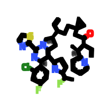 C=CC(CCC1(CC(=O)C(C=C)[C@H](C)c2ccccn2)CC1)[C@H]1CC2=C(C3=NC(C(C)F)C=C3)[C@H](c3ccc(F)cc3Cl)N=C(c3nccs3)N2C1